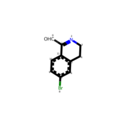 O=CC1=NCCc2cc(Br)ccc21